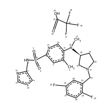 Cc1cc(S(=O)(=O)Nc2cscn2)ncc1N(C)[C@H]1CCN(Cc2cc(F)ccc2F)C1.O=C(O)C(F)(F)F